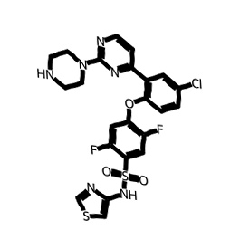 O=S(=O)(Nc1cscn1)c1cc(F)c(Oc2ccc(Cl)cc2-c2ccnc(N3CCNCC3)n2)cc1F